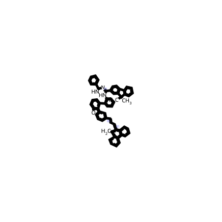 C=c1/c(=C\C=C\c2ccc3oc4cccc(-c5ccccc5N/C(=N\C(=N)c5ccccc5)c5ccc6c(c5)C(C)(C)c5ccccc5-6)c4c3c2)c2ccccc2c2ccccc12